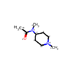 [CH2]C(=O)N(C)C1CCN(C)CC1